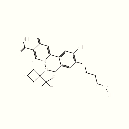 COCCCOc1cc2c(cc1Cl)-c1cc(=O)c(C(=O)O)cn1N(C1(C(F)(F)F)CCC1)C2